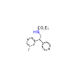 CCOC(=O)NCC(c1ccccc1)c1cccc(C)c1